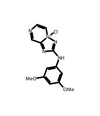 COc1cc(NC2=N[N+]3(Cl)C=CN=CC3=N2)cc(OC)c1